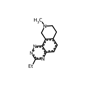 CCc1nnc2c3c(ccc2n1)CCN(C)C3